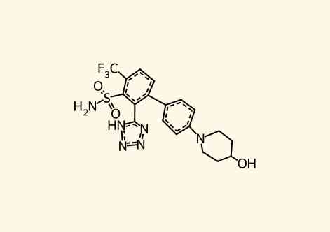 NS(=O)(=O)c1c(C(F)(F)F)ccc(-c2ccc(N3CCC(O)CC3)cc2)c1-c1nnn[nH]1